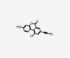 CCC#Cc1cc(Cl)c2c(c1)c(=O)oc1cc(O)ccc12